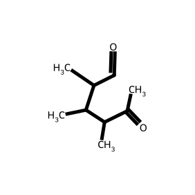 CC(=O)C(C)C(C)C(C)C=O